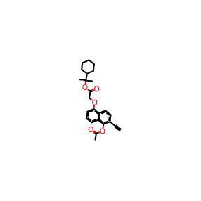 C#Cc1ccc2c(OCC(=O)OC(C)(C)C3CCCCC3)cccc2c1OC(C)=O